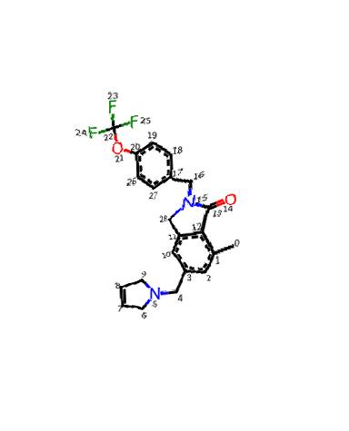 Cc1cc(CN2CC=CC2)cc2c1C(=O)N(Cc1ccc(OC(F)(F)F)cc1)C2